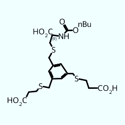 CCCCOC(=O)N[C@@H](CSCc1cc(CSCCC(=O)O)cc(CSCCC(=O)O)c1)C(=O)O